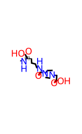 CN[C@H](CCCCNC(=O)N1CCN(CC(=O)O)CC1)C(=O)O